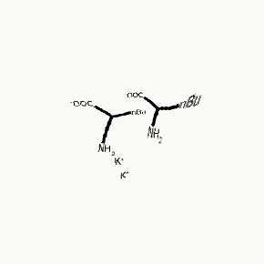 CCCCC(N)C(=O)[O-].CCCCC(N)C(=O)[O-].[K+].[K+]